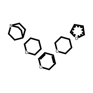 C1=CCOC=C1.C1CCOCC1.C1CCOCC1.C1CN2CCC1CC2.c1ccoc1